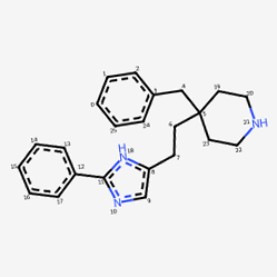 c1ccc(CC2(CCc3cnc(-c4ccccc4)[nH]3)CCNCC2)cc1